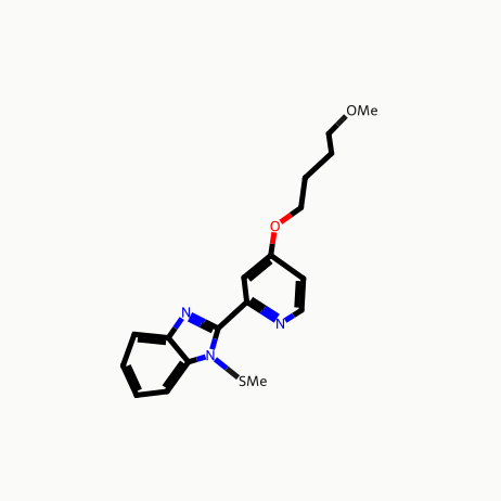 COCCCCOc1ccnc(-c2nc3ccccc3n2SC)c1